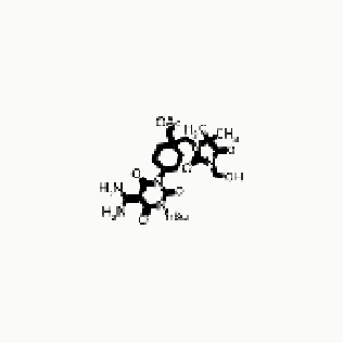 CCCCN1C(=O)C(=C(N)N)C(=O)N(C2CCC(COC(C)=O)(CN3C(=O)N(CO)C(=O)C3(C)C)CC2)C1=O